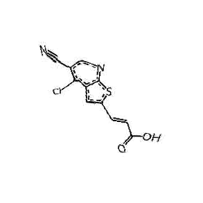 N#Cc1cnc2sc(/C=C/C(=O)O)cc2c1Cl